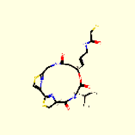 CC(C)[C@@H]1NC(=O)[C@]2(C)CSC(=N2)c2csc(n2)CNC(=O)C[C@@H](/C=C/CNC(=O)CS)OC1=O